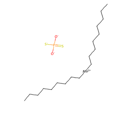 CCCCCCCC[CH2][Mo+3][CH2]CCCCCCCC.[O-]P([O-])(=S)[S-]